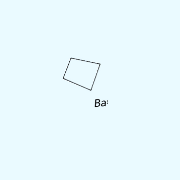 C1CCC1.[Ba]